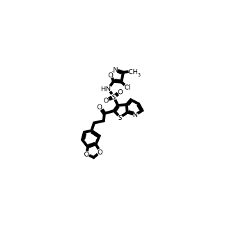 Cc1noc(NS(=O)(=O)c2c(C(=O)CCc3ccc4c(c3)OCO4)sc3ncccc23)c1Cl